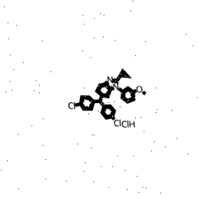 COc1cccc(-n2c(C3CC3)nc3ccc(C(c4ccc(Cl)cc4)c4ccc(Cl)cc4)cc32)c1.Cl